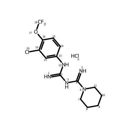 Cl.N=C(NC(=N)N1CCCCC1)Nc1ccc(OC(F)(F)F)c(Cl)c1